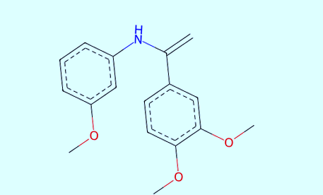 C=C(Nc1cccc(OC)c1)c1ccc(OC)c(OC)c1